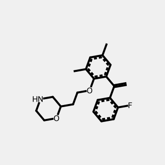 C=C(c1ccccc1F)c1cc(C)cc(C)c1OCCC1CNCCO1